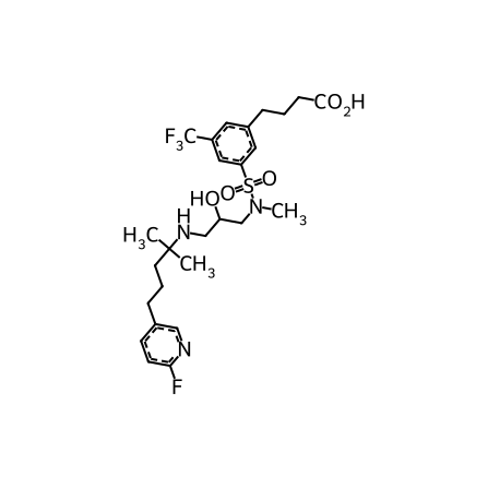 CN(CC(O)CNC(C)(C)CCCc1ccc(F)nc1)S(=O)(=O)c1cc(CCCC(=O)O)cc(C(F)(F)F)c1